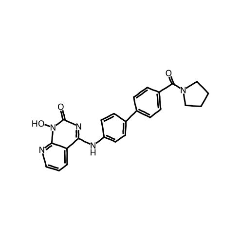 O=C(c1ccc(-c2ccc(Nc3nc(=O)n(O)c4ncccc34)cc2)cc1)N1CCCC1